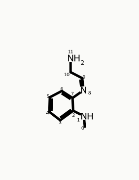 CNc1ccccc1/N=C\CN